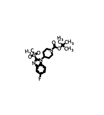 CC(C)(C)OC(=O)N1CCC(n2c(S(C)(=O)=O)nc3cc(F)ccc32)CC1